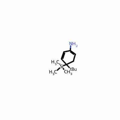 CC(C)(C)C1([Si](C)(C)C)C=CC(N)=CC1